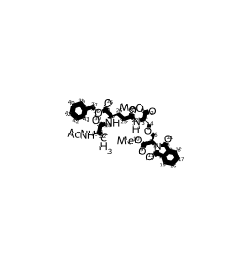 COC(=O)[C@H](COC[C@H](C(=O)OC)N1C(=O)c2ccccc2C1=O)NC(=O)CC[C@@H](NC(=O)[C@H](C)NC(C)=O)C(=O)OCc1ccccc1